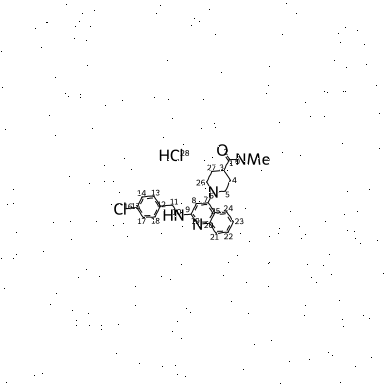 CNC(=O)C1CCN(c2cc(NCc3ccc(Cl)cc3)nc3ccccc23)CC1.Cl